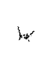 CCCCOCCC(COCC(CCOCCCC)(OCC)OCC)(OCC)OCC